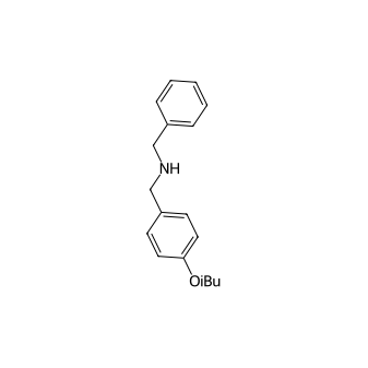 CC(C)COc1ccc(CNCc2ccccc2)cc1